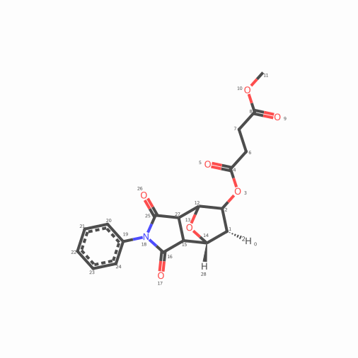 [2H][C@H]1C(OC(=O)CCC(=O)OC)C2O[C@H]1C1C(=O)N(c3ccccc3)C(=O)C21